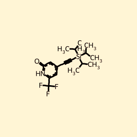 CC(C)[Si](C#Cc1cc(C(F)(F)F)[nH]c(=O)c1)(C(C)C)C(C)C